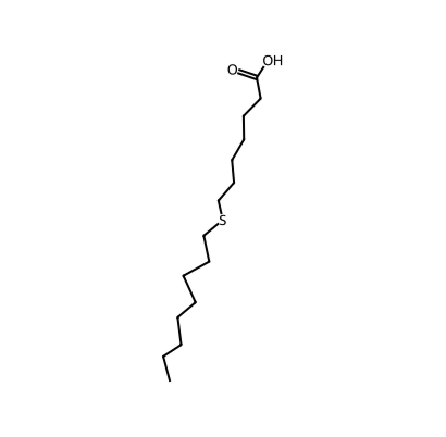 CCCCCCCCSCCCCCCC(=O)O